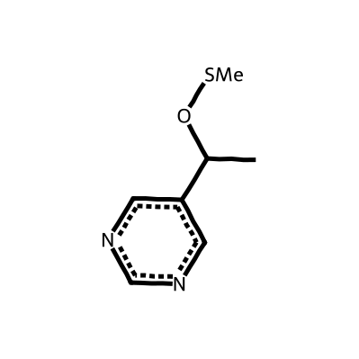 CSOC(C)c1cncnc1